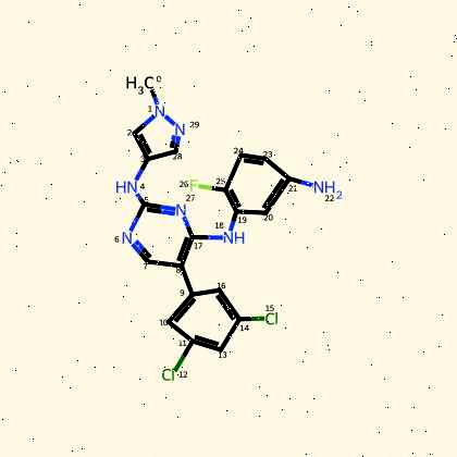 Cn1cc(Nc2ncc(-c3cc(Cl)cc(Cl)c3)c(Nc3cc(N)ccc3F)n2)cn1